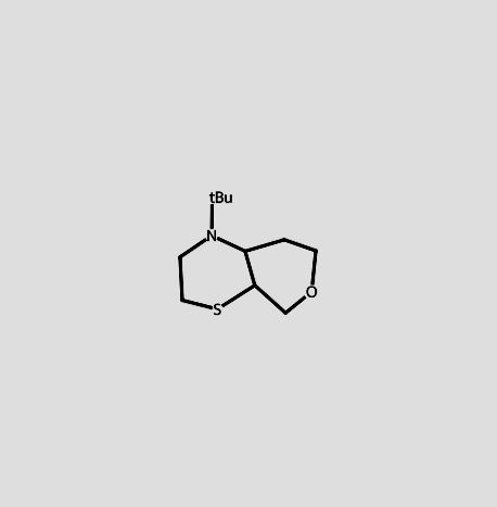 CC(C)(C)N1CCSC2COCCC21